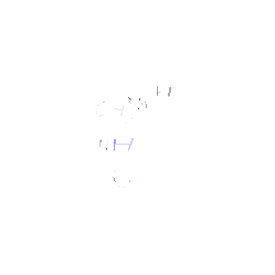 C.N.[Co].[Mn].[Pt]